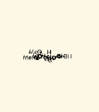 CNC(=O)n1ccc2cc(Oc3ccnc(NC(=O)c4ccc(C5CCN(CCO)CC5)cc4)c3)c(COC)cc21